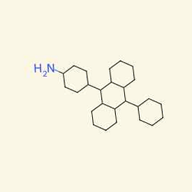 NC1CCC(C2C3CCCCC3C(C3CCCCC3)C3CCCCC32)CC1